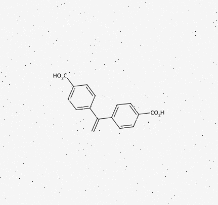 C=C(c1ccc(C(=O)O)cc1)c1ccc(C(=O)O)cc1